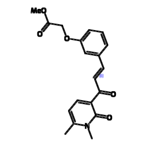 COC(=O)COc1cccc(/C=C/C(=O)c2ccc(C)n(C)c2=O)c1